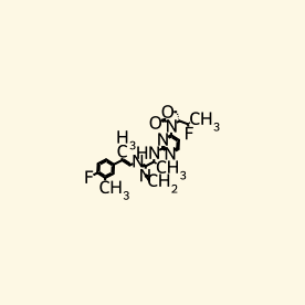 C=N/C(=N\C=C(/C)c1ccc(F)c(C)c1)[C@H](C)Nc1nccc(N2C(=O)OC[C@@H]2[C@H](C)F)n1